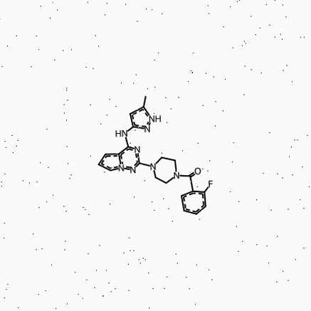 Cc1cc(Nc2nc(N3CCN(C(=O)c4ccccc4F)CC3)nn3cccc23)n[nH]1